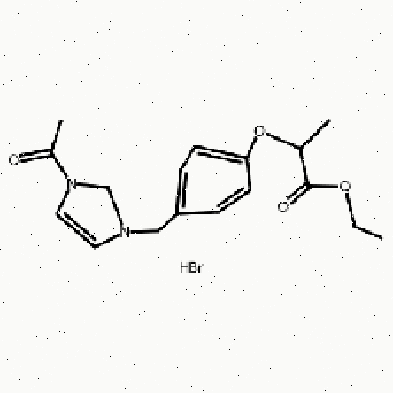 Br.CCOC(=O)C(C)Oc1ccc(CN2C=CN(C(C)=O)C2)cc1